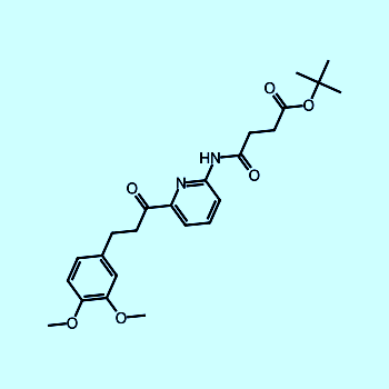 COc1ccc(CCC(=O)c2cccc(NC(=O)CCC(=O)OC(C)(C)C)n2)cc1OC